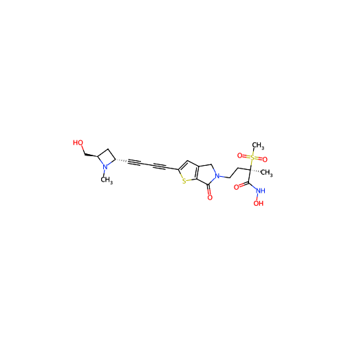 CN1[C@@H](CO)C[C@@H]1C#CC#Cc1cc2c(s1)C(=O)N(CC[C@](C)(C(=O)NO)S(C)(=O)=O)C2